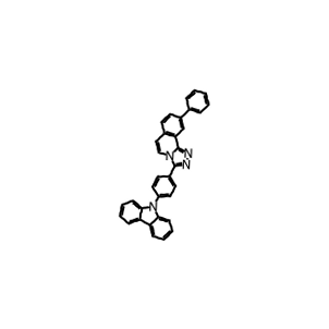 c1ccc(-c2ccc3ccn4c(-c5ccc(-n6c7ccccc7c7ccccc76)cc5)nnc4c3c2)cc1